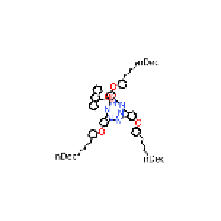 CCCCCCCCCCCCCCCc1cccc(Oc2ccc3c(c2)-c2nc-3nc3c4cc(Oc5cccc(CCCCCCCCCCCCCCC)c5)ccc4c(nc4c5ccc(Oc6cccc(CCCCCCCCCCCCCCC)c6)cc5c(n2)n4C)n3B(C)OCc2c3ccccc3cc3ccccc23)c1